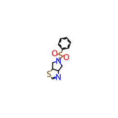 O=S(=O)(c1ccccc1)N1CC2N=CSC2C1